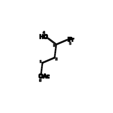 CC(=O)OCCC(O)C(C)C